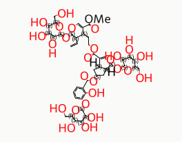 C=C[C@H]1[C@H](O[C@@H]2O[C@H](CO)[C@@H](O)[C@H](O)[C@H]2O)OC=C(C(=O)OC)[C@H]1CCOC(=O)C1=CO[C@@H](O[C@@H]2O[C@H](CO)[C@@H](O)[C@H](O)[C@H]2O)[C@@H]2C[C@@H](OC(=O)c3cccc(O[C@@H]4O[C@H](CO)[C@@H](O)[C@H](O)[C@H]4O)c3O)C[C@H]12